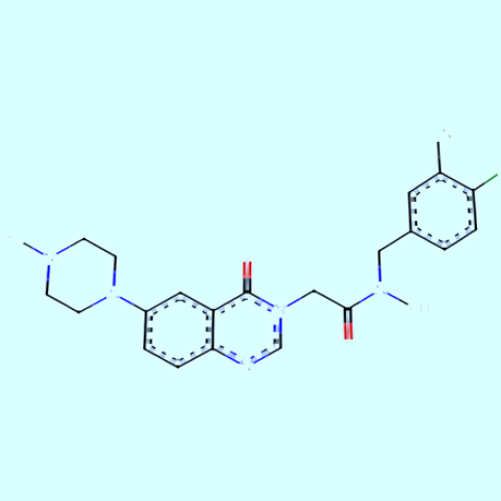 CC(=O)N1CCN(c2ccc3ncn(CC(=O)N(C)Cc4ccc(Cl)c(C#N)c4)c(=O)c3c2)CC1